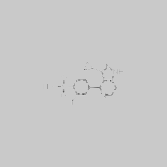 CS(=O)(=O)c1ccc(-c2nccc3[nH]nc(C4CC4)c23)cc1I